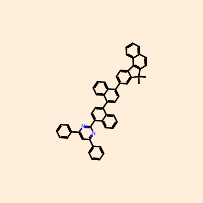 CC1(C)c2cc(-c3ccc(-c4ccc(-c5nc(-c6ccccc6)cc(-c6ccccc6)n5)c5ccccc45)c4ccccc34)ccc2-c2c1ccc1ccccc21